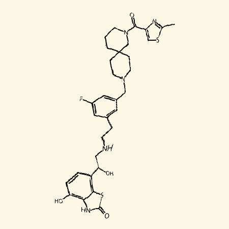 Cc1nc(C(=O)N2CCCC3(CCN(Cc4cc(F)cc(CCNCC(O)c5ccc(O)c6[nH]c(=O)sc56)c4)CC3)C2)cs1